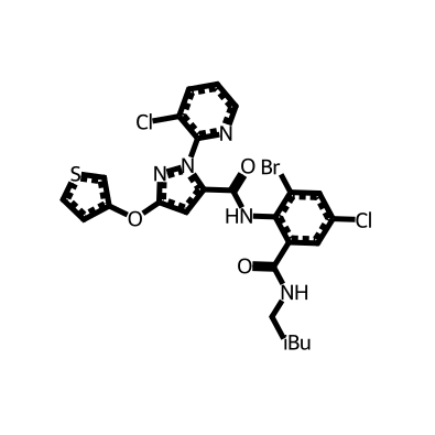 CCC(C)CNC(=O)c1cc(Cl)cc(Br)c1NC(=O)c1cc(Oc2ccsc2)nn1-c1ncccc1Cl